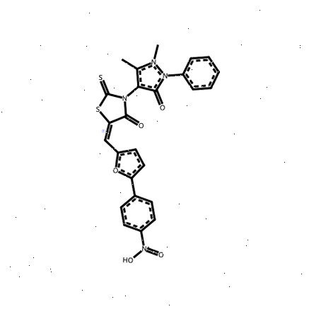 Cc1c(N2C(=O)/C(=C\c3ccc(-c4ccc([N+](=O)O)cc4)o3)SC2=S)c(=O)n(-c2ccccc2)n1C